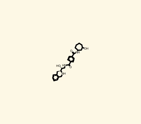 O=C(NC[C@@H](O)[C@@H]1Cc2ccccc2CN1)c1ccc(C(=O)NC2CCCCC(O)C2)cc1